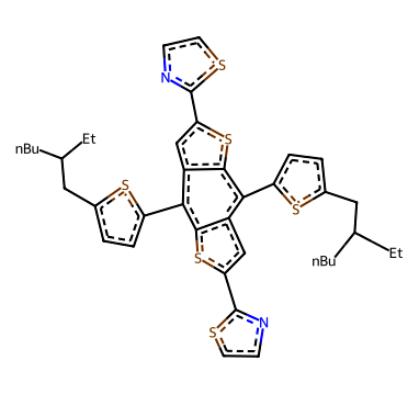 CCCCC(CC)Cc1ccc(-c2c3cc(-c4nccs4)sc3c(-c3ccc(CC(CC)CCCC)s3)c3cc(-c4nccs4)sc23)s1